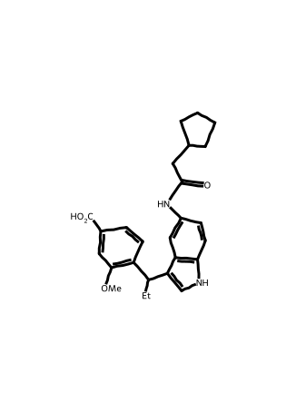 CCC(c1ccc(C(=O)O)cc1OC)c1c[nH]c2ccc(NC(=O)CC3CCCC3)cc12